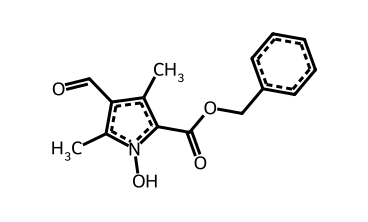 Cc1c(C=O)c(C)n(O)c1C(=O)OCc1ccccc1